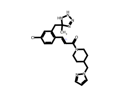 CC1(Cc2cc(Cl)ccc2/C=C/C(=O)N2CCC(Cn3cccn3)CC2)N=NNN1